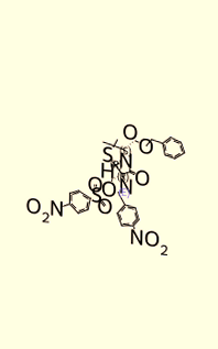 CC1(C)S[C@H]2N(C(=O)[C@@]2(COS(=O)(=O)c2ccc([N+](=O)[O-])cc2)/N=C/c2ccc([N+](=O)[O-])cc2)[C@H]1C(=O)OCc1ccccc1